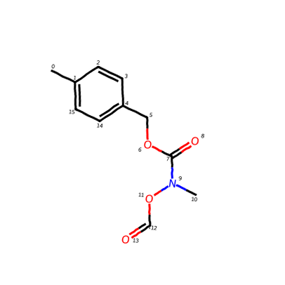 Cc1ccc(COC(=O)N(C)O[C]=O)cc1